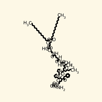 CCCCCCCCCCCCCCCC(=O)OCC(COP(=O)(O)OCCNC(=O)CCCC(=O)NCC(=O)NC(C(=O)CC(CCCCC)C(=O)N1CCCC1C(=O)N1CCCC1C(=O)CC(CCCN/C(N)=N\[N+](=O)[O-])C(=O)Cc1ccccc1)C(C)C)OC(=O)CCCCCCCCCCCCCCC